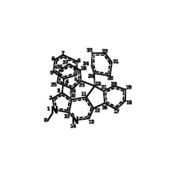 Cn1cc(-c2ccccc2)c2c3c(cnc21)-c1ccccc1C3(c1ccccc1)c1ccccc1